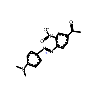 CC(=O)c1ccc(/N=N/c2ccc(N(C)C)cc2)c([N+](=O)[O-])c1